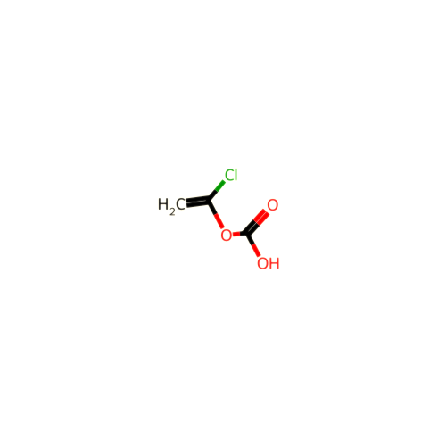 C=C(Cl)OC(=O)O